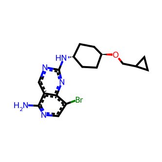 Nc1ncc(Br)c2nc(N[C@H]3CC[C@H](OCC4CC4)CC3)ncc12